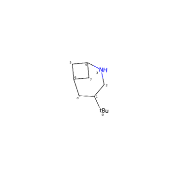 CC(C)(C)C1CNC2CC(C2)C1